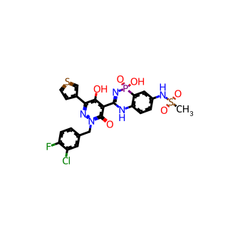 CS(=O)(=O)Nc1ccc2c(c1)P(=O)(O)N=C(c1c(O)c(-c3ccsc3)nn(Cc3ccc(F)c(Cl)c3)c1=O)N2